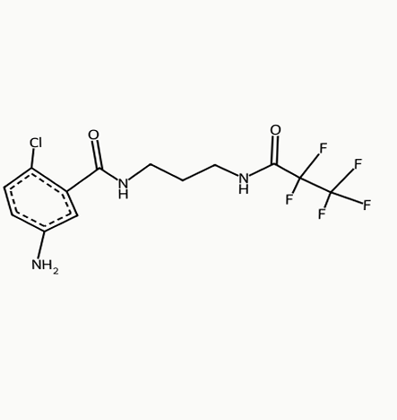 Nc1ccc(Cl)c(C(=O)NCCCNC(=O)C(F)(F)C(F)(F)F)c1